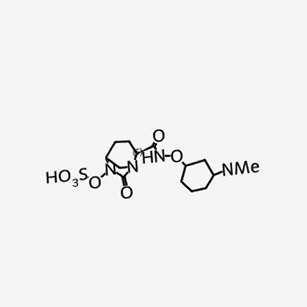 CNC1CCCC(ONC(=O)[C@@H]2CCC3CN2C(=O)N3OS(=O)(=O)O)C1